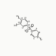 O=S(=O)(c1ccc(I)cc1)c1ccc(I)c(I)c1